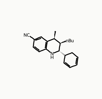 CCCC[C@@H]1[C@H](C)c2cc(C#N)ccc2N[C@H]1C1C=CC=CC1